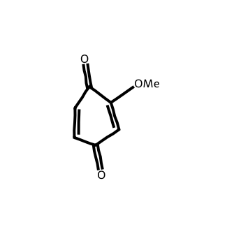 COC1=CC(=O)C=CC1=O